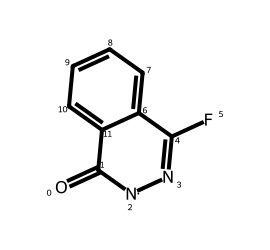 O=C1[N]N=C(F)c2ccccc21